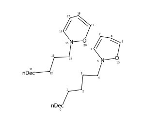 CCCCCCCCCCCCCCN1C=CC=CO1.CCCCCCCCCCCCCN1C=CC=CO1